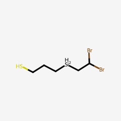 SCCC[SiH2]CC(Br)Br